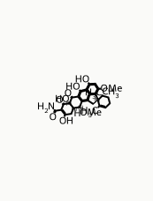 COc1cc(O)c2c(O)c3c(c4c2c1[C@@]1(C4)C(C)=CCCC1(C)C)[C@@H](OC)[C@H]1CC(O)=C(C(N)=O)C(=O)[C@@]1(O)C3=O